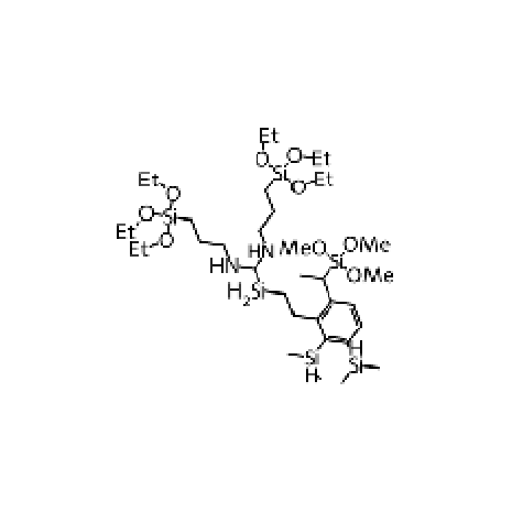 CCO[Si](CCCNC(NCCC[Si](OCC)(OCC)OCC)[SiH2]CCc1c(C(C)[Si](OC)(OC)OC)ccc([SiH](C)C)c1[SiH](C)C)(OCC)OCC